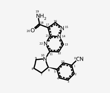 N#Cc1cccc([C@H]2CCCN2c2ccn3ncc(C(N)=O)c3n2)c1